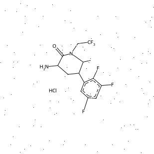 CC1C(c2cc(F)cc(F)c2F)CC(N)C(=O)N1CC(F)(F)F.Cl